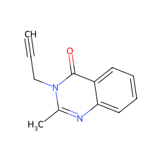 C#CCn1c(C)nc2ccccc2c1=O